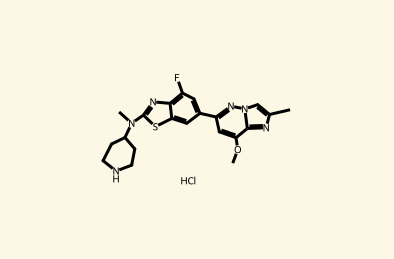 COc1cc(-c2cc(F)c3nc(N(C)C4CCNCC4)sc3c2)nn2cc(C)nc12.Cl